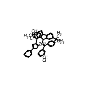 CC(C)(C)c1ccc2c(c1)[CH]([Zr+2]([C]1=C(c3ccccc3)C=C(c3ccccc3)C1)=[C](c1ccccc1)c1ccccc1)c1cc(C(C)(C)C)ccc1-2.[Cl-].[Cl-]